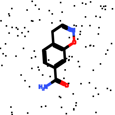 NC(=O)c1ccc2c(c1)ON=CC2